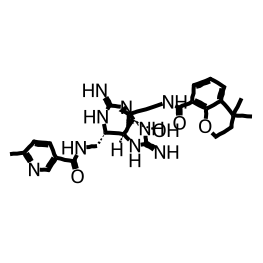 Cc1ccc(C(=O)NC[C@@H]2NC(=N)N3CC(NC(=O)c4cccc5c4OCCC5(C)C)[C@@H](O)[C@@]34NC(=N)N[C@@H]24)cn1